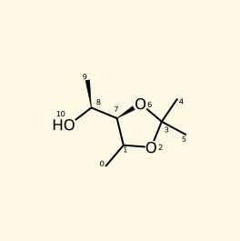 CC1OC(C)(C)O[C@@H]1[C@H](C)O